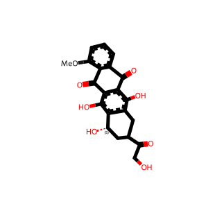 COc1cccc2c1C(=O)c1c(O)c3c(c(O)c1C2=O)CC(C(=O)CO)C[C@@H]3O